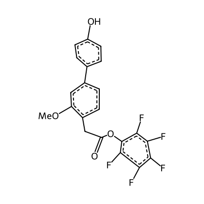 COc1cc(-c2ccc(O)cc2)ccc1CC(=O)Oc1c(F)c(F)c(F)c(F)c1F